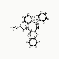 NCCN1C(=O)C(Cc2ccccc2)N=C(c2ccccc2)c2ccccc21